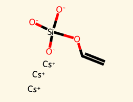 C=CO[Si]([O-])([O-])[O-].[Cs+].[Cs+].[Cs+]